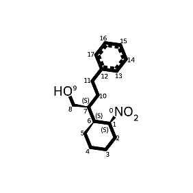 O=[N+]([O-])[C@H]1CCCC[C@H]1[C@@H](CO)CCc1ccccc1